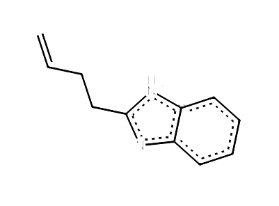 C=CC[CH]c1nc2ccccc2[nH]1